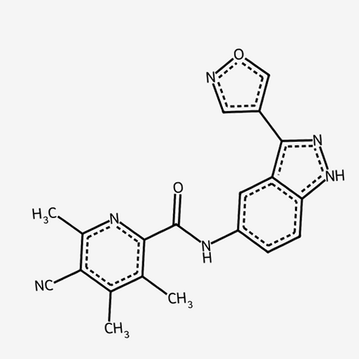 Cc1nc(C(=O)Nc2ccc3[nH]nc(-c4cnoc4)c3c2)c(C)c(C)c1C#N